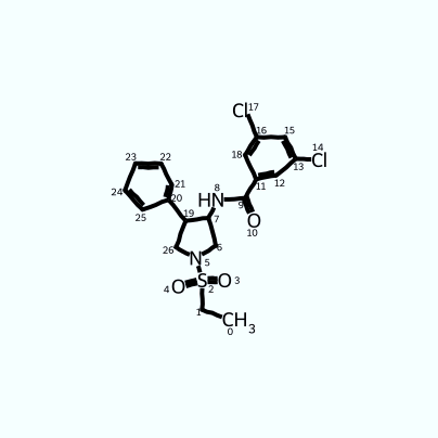 CCS(=O)(=O)N1CC(NC(=O)c2cc(Cl)cc(Cl)c2)C(c2ccccc2)C1